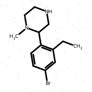 CCc1cc(Br)ccc1C1CNCCN1C